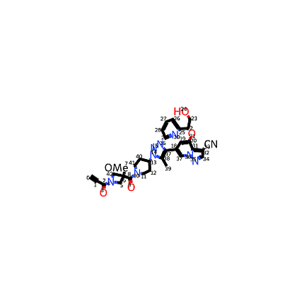 C#CC(=O)N1CC(OC)(C(=O)N2CCC(n3nnc(-c4cc(OC(CO)c5ccccn5)c5c(C#N)cnn5c4)c3C)CC2)C1